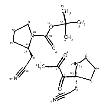 CC(=O)C(=O)[C@]1(CC#N)CCCN1.CC(C)(C)OC(=O)N1CCC[C@@H]1CC#N